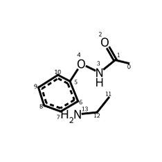 CC(=O)NOc1ccccc1.CCN